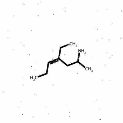 CC/C=C(/CC)CC(C)N